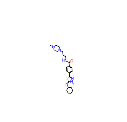 CN1CCN(CCCNC(=O)c2ccc(-c3nn(C)/c(=N\C4CCCCC4)s3)cc2)CC1